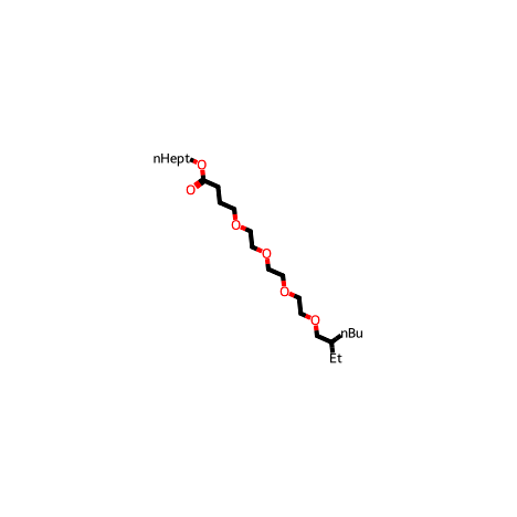 CCCCCCCOC(=O)CCCOCCOCCOCCOCC(CC)CCCC